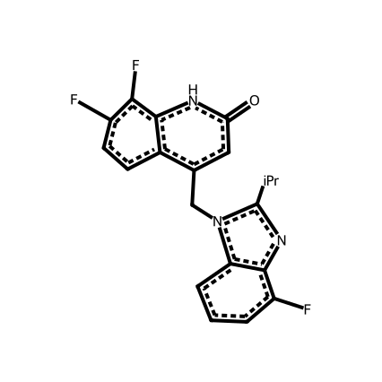 CC(C)c1nc2c(F)cccc2n1Cc1cc(=O)[nH]c2c(F)c(F)ccc12